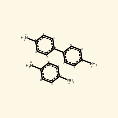 Nc1ccc(-c2ccc(N)cc2)cc1.Nc1ccc(N)cc1